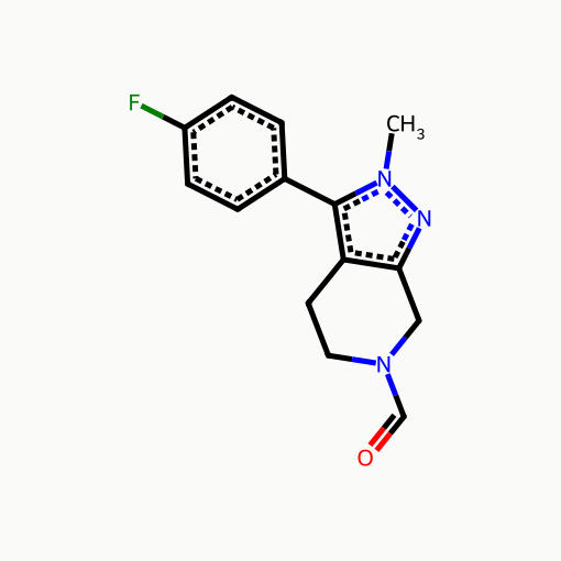 Cn1nc2c(c1-c1ccc(F)cc1)CCN(C=O)C2